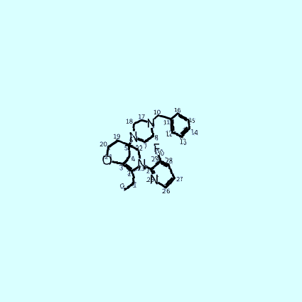 CCC1=C2CC(N3CCN(Cc4ccccc4)CC3)(CCO2)CN1c1ncccc1F